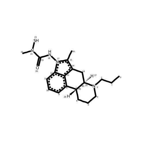 CCCN1CCC[C@@H]2c3cccc4c3c(c(C)n4NC(=O)N(C)S)C[C@H]21